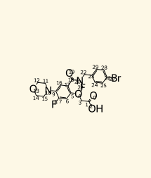 O=C(O)COc1cc(F)c(N2CCOCC2)cc1C(=O)N(F)Cc1ccc(Br)cc1